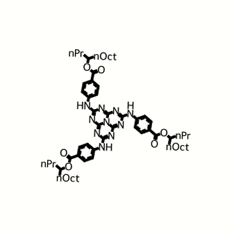 CCCCCCCCC(CCC)OC(=O)c1ccc(NC2=NC3=NC(Nc4ccc(C(=O)OC(CCC)CCCCCCCC)cc4)=NC4=NC(Nc5ccc(C(=O)OC(CCC)CCCCCCCC)cc5)=NC(=N2)N34)cc1